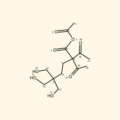 CC(=O)OC(=O)C(CCC(CO)(CO)CO)(C(C)=O)C(C)=O